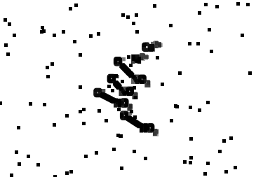 O=[N+]([O-])[O-].O=[N+]([O-])[O-].O=[N+]([O-])[O-].O=[N+]([O-])[O-].[Cd+2].[Ni+2]